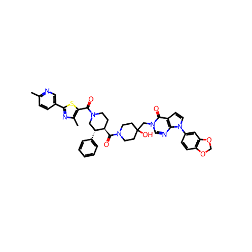 Cc1ccc(-c2nc(C)c(C(=O)N3CC[C@@H](C(=O)N4CCC(O)(Cn5cnc6c(ccn6-c6ccc7c(c6)OCO7)c5=O)CC4)[C@H](c4ccccc4)C3)s2)cn1